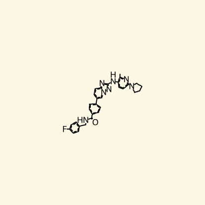 Cc1nc(N2CCCC2)ccc1Nc1nc2ccc(-c3ccc(C(=O)NCc4ccc(F)cc4)cc3)cn2n1